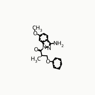 COc1ccc2c(N)nn(C(=O)[C@H](C)COc3ccccc3)c2c1